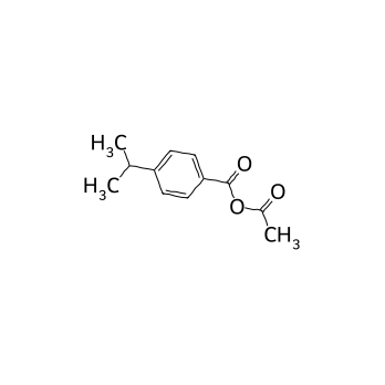 CC(=O)OC(=O)c1ccc(C(C)C)cc1